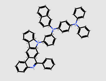 c1ccc(-c2nc3ccccc3c3cc4c5ccccc5n(-c5cccc(N(c6ccc(N(c7ccccc7)c7ccccc7)cc6)c6ccc7ccccc7c6)c5)c4cc23)cc1